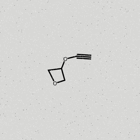 C#COC1COC1